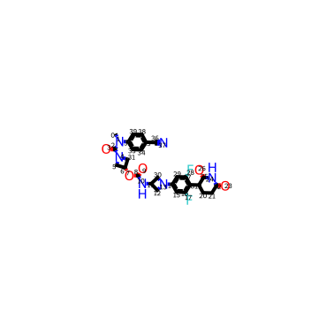 CN(C(=O)N1CC(OC(=O)NC2CN(c3cc(F)c(C4CCC(=O)NC4=O)c(F)c3)C2)C1)c1ccc(C#N)cc1